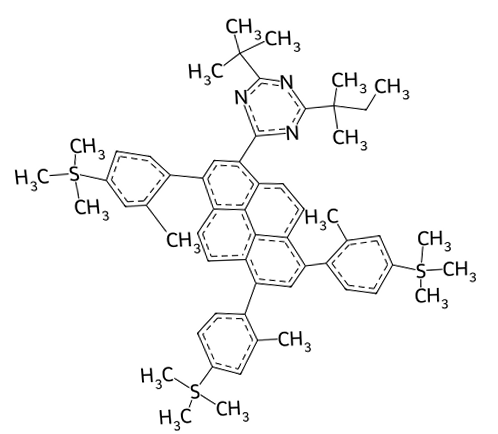 CCC(C)(C)c1nc(-c2cc(-c3ccc(S(C)(C)C)cc3C)c3ccc4c(-c5ccc(S(C)(C)C)cc5C)cc(-c5ccc(S(C)(C)C)cc5C)c5ccc2c3c54)nc(C(C)(C)C)n1